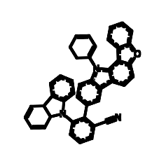 N#Cc1cccc(N2c3ccccc3C3C=CC=CC32)c1-c1ccc2c(c1)c1ccc3oc4ccccc4c3c1n2C1=CC=CCC1